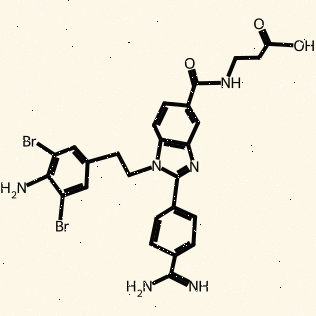 N=C(N)c1ccc(-c2nc3cc(C(=O)NCCC(=O)O)ccc3n2CCc2cc(Br)c(N)c(Br)c2)cc1